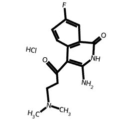 CN(C)CCC(=O)c1c(N)[nH]c(=O)c2cc(F)ccc12.Cl